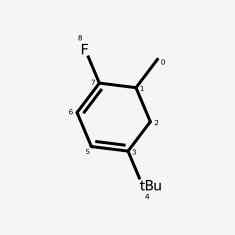 CC1CC(C(C)(C)C)=CC=C1F